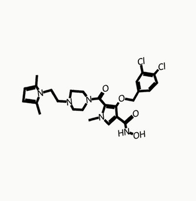 Cc1ccc(C)n1CCN1CCN(C(=O)c2c(OCc3ccc(Cl)c(Cl)c3)c(C(=O)NO)cn2C)CC1